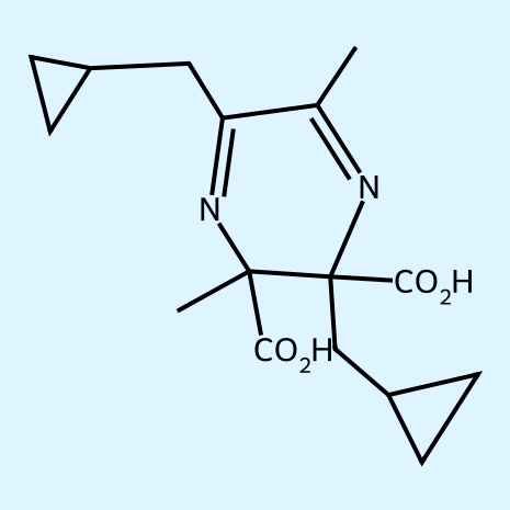 CC1=NC(CC2CC2)(C(=O)O)C(C)(C(=O)O)N=C1CC1CC1